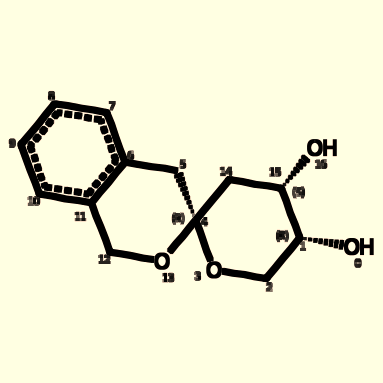 O[C@@H]1CO[C@]2(Cc3ccccc3CO2)C[C@@H]1O